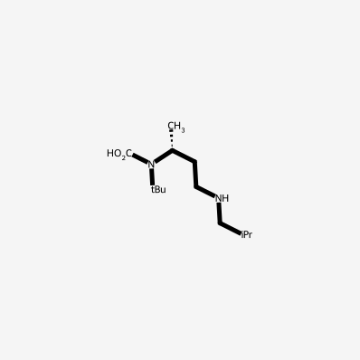 CC(C)CNCC[C@@H](C)N(C(=O)O)C(C)(C)C